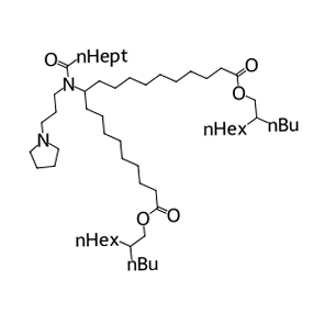 CCCCCCCC(=O)N(CCCN1CCCC1)C(CCCCCCCCCC(=O)OCC(CCCC)CCCCCC)CCCCCCCCC(=O)OCC(CCCC)CCCCCC